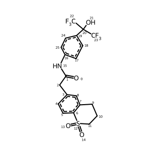 O=C(Cc1ccc2c(c1)CCCS2(=O)=O)Nc1ccc(C(O)(C(F)(F)F)C(F)(F)F)cc1